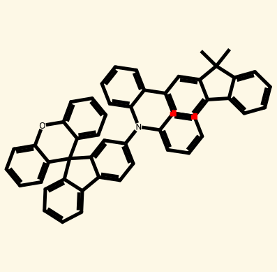 CC1(C)c2ccccc2-c2ccc(-c3ccccc3N(c3ccccc3)c3ccc4c(c3)C3(c5ccccc5Oc5ccccc53)c3ccccc3-4)cc21